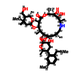 CC[C@H]1OC(=O)[C@H](C)[C@@H](O[C@H]2C[C@@](C)(OC)C(CO)[C@H](C)O2)[C@H](C)[C@@H](O[C@@H]2O[C@H](C)C(c3cc(OC)ccc3CNC)C[C@H]2O)[C@](C)(O)C[C@@H](C)CN[C@H](C)[C@@H](O)[C@]1(C)O